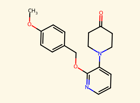 COc1ccc(COc2ncccc2N2CCC(=O)CC2)cc1